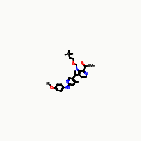 COC(=O)c1nccc2c(-c3cnc(Nc4ccc(OC(C)C)cc4)cc3C)cn(COCC[Si](C)(C)C)c12